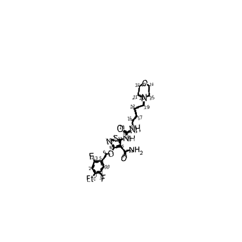 CCc1cc(F)c(COc2nsc(NC(=O)NCCCCN3CCOCC3)c2C(N)=O)cc1F